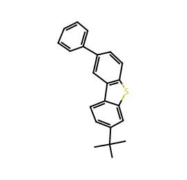 CC(C)(C)c1ccc2c(c1)sc1ccc(-c3ccccc3)cc12